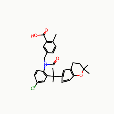 Cc1ccc(CN(C=O)c2ccc(Cl)cc2C(C)(C)c2ccc3c(c2)CCC(C)(C)O3)cc1C(=O)O